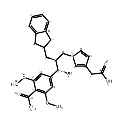 COc1cc([C@@H](O)[C@@H](CC2Cc3ccccc3C2)Cn2ccc(CC(=O)O)c2)cc(OC)c1C(C)=O